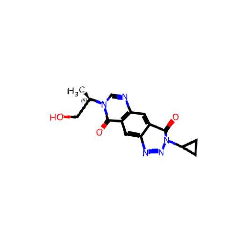 C[C@H](CO)n1cnc2cc3c(=O)n(C4CC4)nnc3cc2c1=O